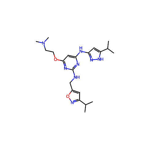 CC(C)c1cc(CNc2nc(Nc3cc(C(C)C)[nH]n3)cc(OCCN(C)C)n2)on1